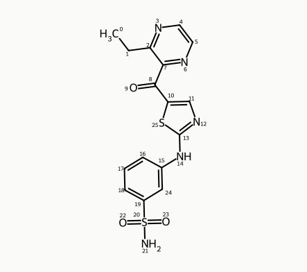 CCc1nccnc1C(=O)c1cnc(Nc2cccc(S(N)(=O)=O)c2)s1